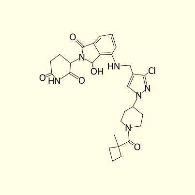 CC1(C(=O)N2CCC(n3cc(CNc4cccc5c4C(O)N(C4CCC(=O)NC4=O)C5=O)c(Cl)n3)CC2)CCC1